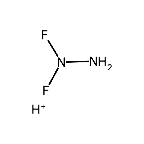 NN(F)F.[H+]